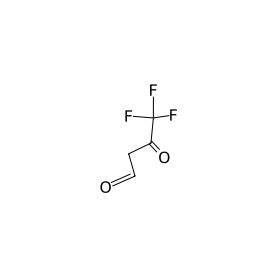 O=CCC(=O)C(F)(F)F